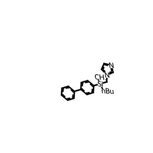 CCCC[Si](C)(Cn1ccnc1)c1ccc(-c2ccccc2)cc1